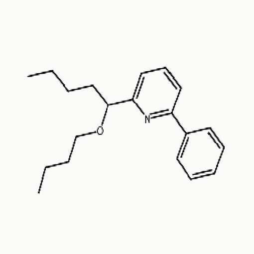 CCCCOC(CCCC)c1cccc(-c2ccccc2)n1